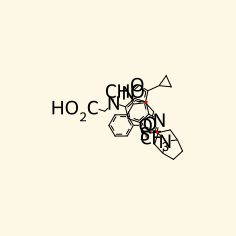 O=CN(CC(=O)O)c1ccc2nc(N3C4CCC3CC(OCc3c(-c5ccccc5OC(F)(F)F)noc3C3CC3)C4)sc2c1